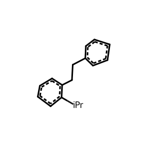 CC(C)c1ccccc1CCc1ccccc1